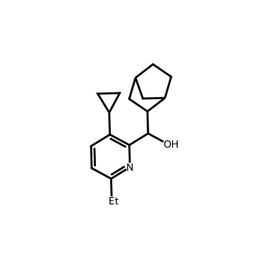 CCc1ccc(C2CC2)c(C(O)C2CC3CCC2C3)n1